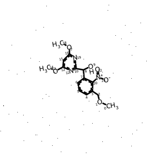 COCc1cccc(C(O)c2nc(OC)cc(OC)n2)c1[N+](=O)[O-]